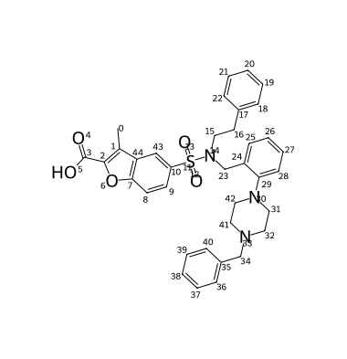 Cc1c(C(=O)O)oc2ccc(S(=O)(=O)N(CCc3ccccc3)Cc3ccccc3N3CCN(Cc4ccccc4)CC3)cc12